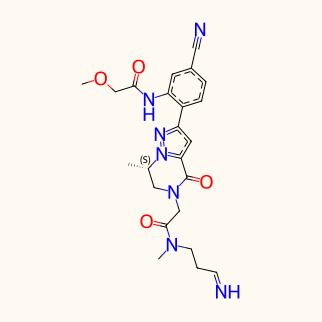 COCC(=O)Nc1cc(C#N)ccc1-c1cc2n(n1)[C@@H](C)CN(CC(=O)N(C)CCC=N)C2=O